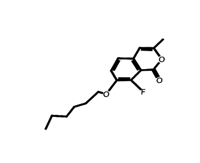 CCCCCCOc1ccc2cc(C)oc(=O)c2c1F